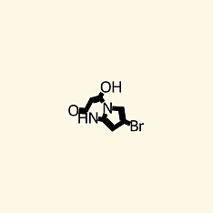 O=c1cc(O)n2cc(Br)cc2[nH]1